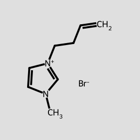 C=CCC[n+]1ccn(C)c1.[Br-]